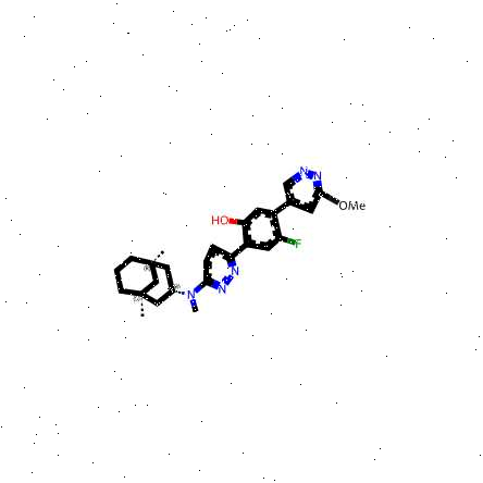 COc1cc(-c2cc(O)c(-c3ccc(N(C)[C@H]4C[C@]5(C)CCC[C@](C)(C4)C5)nn3)cc2F)cnn1